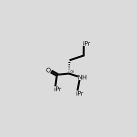 CC(C)CC[C@H](NC(C)C)C(=O)C(C)C